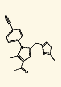 CC(=O)c1cc(Cc2csc(C)n2)n(-c2ccc(C#N)cc2)c1C